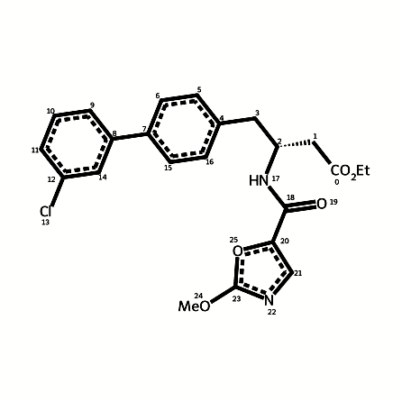 CCOC(=O)C[C@@H](Cc1ccc(-c2cccc(Cl)c2)cc1)NC(=O)c1cnc(OC)o1